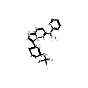 CN(c1ccccn1)c1ccc2ncc(-c3cccc(OC(F)(F)F)c3)n2n1